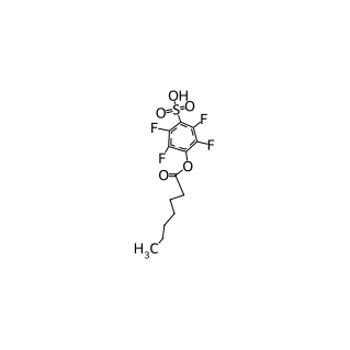 CCCCCCC(=O)Oc1c(F)c(F)c(S(=O)(=O)O)c(F)c1F